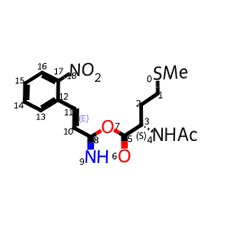 CSCC[C@H](NC(C)=O)C(=O)OC(=N)/C=C/c1ccccc1[N+](=O)[O-]